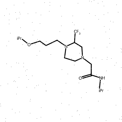 CC(C)NC(=O)CN1CCN(CCCOC(C)C)C(C(F)(F)F)C1